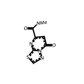 CNC(=O)c1cc(=O)n2n[c]sc2n1